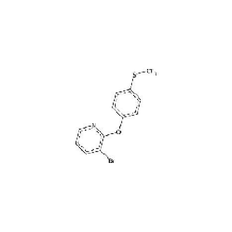 FC(F)(F)Sc1ccc(Oc2ncccc2Br)cc1